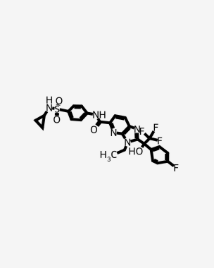 CCn1c(C(O)(c2ccc(F)cc2)C(F)(F)F)nc2ccc(C(=O)Nc3ccc(S(=O)(=O)NC4CC4)cc3)nc21